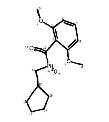 COc1cccc(OC)c1C(=O)[PH](=O)CC1CCCC1